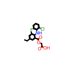 CCc1cc(C)c(Nc2c(F)cccc2Cl)c(C(=O)OCC(=O)O)c1